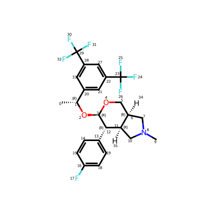 C[C@@H](O[C@H]1OC[C@H]2CN(C)C[C@H]2[C@@H]1c1ccc(F)cc1)c1cc(C(F)(F)F)cc(C(F)(F)F)c1